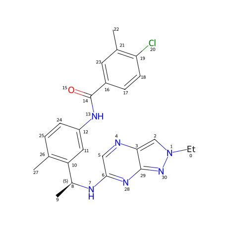 CCn1cc2ncc(N[C@@H](C)c3cc(NC(=O)c4ccc(Cl)c(C)c4)ccc3C)nc2n1